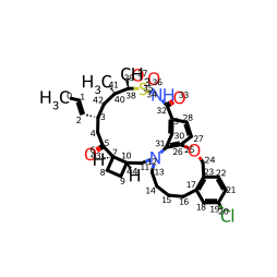 C/C=C/[C@H]1CC(=O)[C@@H]2CC[C@H]2CN2CCCCc3cc(Cl)ccc3COc3ccc(cc32)C(=O)NS(=O)(=O)[C@H](C)[C@@H](C)C1